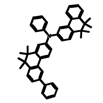 CC1(C)c2ccccc2-c2cc(N(c3ccccc3)c3ccc4c(c3)C(C)(C)C(C)(C)c3ccc(-c5ccccc5)cc3-4)ccc2C1(C)C